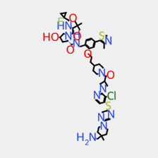 Cc1ncsc1-c1ccc(CNC(=O)[C@@H]2C[C@@H](O)CN2C(=O)[C@@H](NC(=O)C2(F)CC2)C(C)(C)C)c(OCCC2CCN(C(=O)C3CN(c4nccc(Sc5cnc(N6CCC(C)(CN)CC6)cn5)c4Cl)C3)CC2)c1